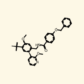 COc1cc(CNC(=O)c2ccc(OCc3ccccc3)cc2)c(-c2cccnc2OC)cc1C(C)(C)C